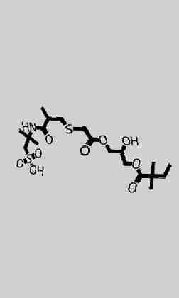 CCC(C)(C)C(=O)OCC(O)COC(=O)CSCC(C)C(=O)NC(C)(C)CS(=O)(=O)O